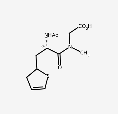 CC(=O)N[C@@H](CC1CC=CS1)C(=O)N(C)CC(=O)O